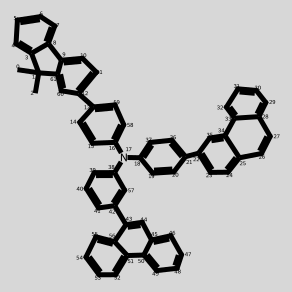 CC1(C)c2ccccc2-c2ccc(-c3ccc(N(c4ccc(-c5ccc6ccc7ccccc7c6c5)cc4)c4cccc(-c5cc6ccccc6c6ccccc56)c4)cc3)cc21